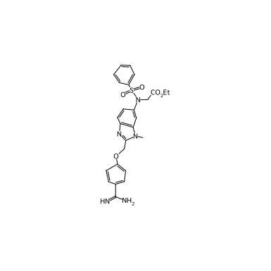 CCOC(=O)CN(c1ccc2nc(COc3ccc(C(=N)N)cc3)n(C)c2c1)S(=O)(=O)c1ccccc1